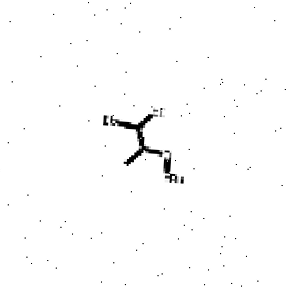 CCC(CC)C(C)OC(C)(C)C